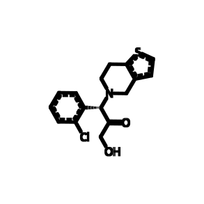 O=C(CO)[C@H](c1ccccc1Cl)N1CCc2sccc2C1